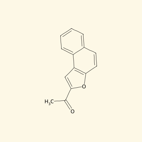 CC(=O)c1cc2c(ccc3ccccc32)o1